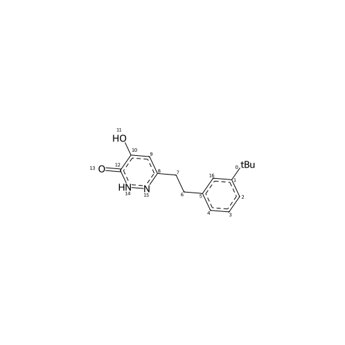 CC(C)(C)c1cccc(CCc2cc(O)c(=O)[nH]n2)c1